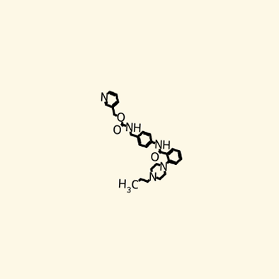 CCCN1CCN(c2ccccc2C(=O)Nc2ccc(CNC(=O)OCc3cccnc3)cc2)CC1